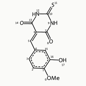 COc1ccc(C=C2C(=O)NC(=S)NC2=O)cc1O